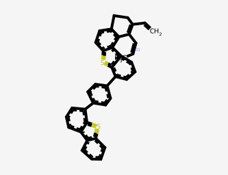 C=CC1=C(/C=C\C)c2c(ccc3sc4c(-c5ccc(-c6cccc7c6sc6ccccc67)cc5)cccc4c23)CC1